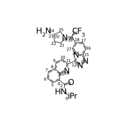 CC(C)NC(=O)c1cccc2ccc(-c3nnc4ccc([C@@H](N5CC[C@H](N)C5)C(F)(F)F)cn34)nc12